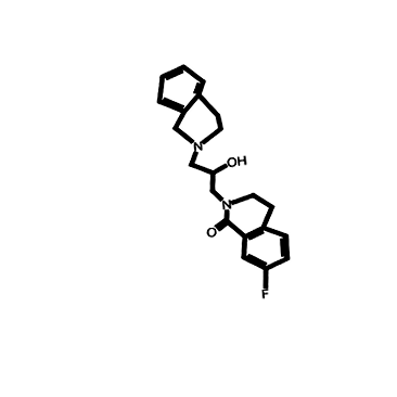 O=C1c2cc(F)ccc2CCN1CC(O)CN1CCc2ccccc2C1